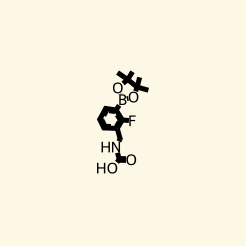 CC1(C)OB(c2cccc(CNC(=O)O)c2F)OC1(C)C